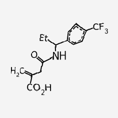 C=C(CC(=O)NC(CC)c1ccc(C(F)(F)F)cc1)C(=O)O